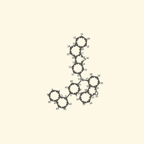 c1ccc2c(-c3ccc(N(c4ccc5c(c4)sc4c6ccccc6ccc54)c4cccc5oc6ccccc6c45)cc3)cccc2c1